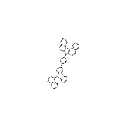 c1ccc2c(-n3c4ccccc4c4cc(-c5ccc(-n6c7ccc8ccccc8c7c7c8ccccc8ccc76)cc5)ccc43)cccc2c1